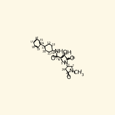 CN1CC(N2CC(C(=O)NC3CCC(c4ccccc4)CC3)=C(O)C2=O)CC1=O